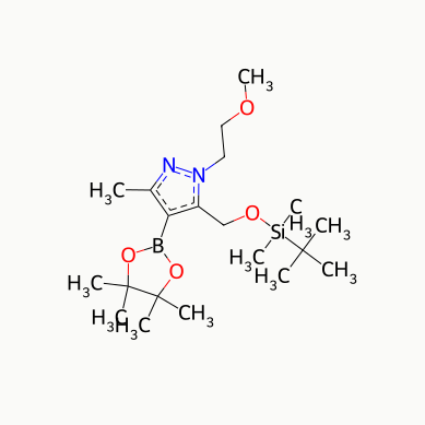 COCCn1nc(C)c(B2OC(C)(C)C(C)(C)O2)c1CO[Si](C)(C)C(C)(C)C